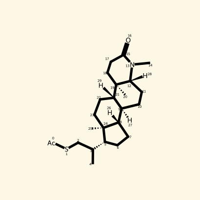 CC(=O)SCC(C)[C@H]1CC[C@H]2[C@@H]3CC[C@H]4N(C)C(=O)CC[C@]4(C)[C@H]3CC[C@]12C